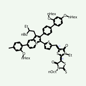 CCCCCCCCN1C(=O)/C(=c2\s/c(=C\c3ccc(-c4c(-c5ccc(-c6ccc(OCCCCCC)cc6OCCCCCC)cc5)c(CC(CC)CCCC)c5cc(-c6ccc(C)cc6OCCCCCC)ccn45)s3)c(=O)n2CC)SC1=S